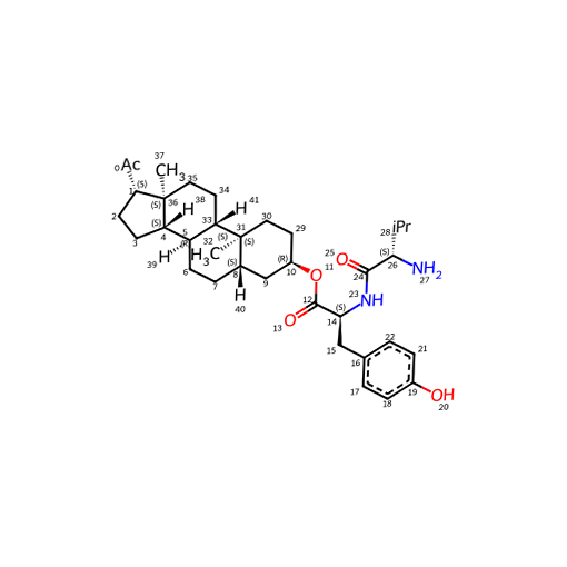 CC(=O)[C@H]1CC[C@H]2[C@@H]3CC[C@H]4C[C@H](OC(=O)[C@H](Cc5ccc(O)cc5)NC(=O)[C@@H](N)C(C)C)CC[C@]4(C)[C@H]3CC[C@]12C